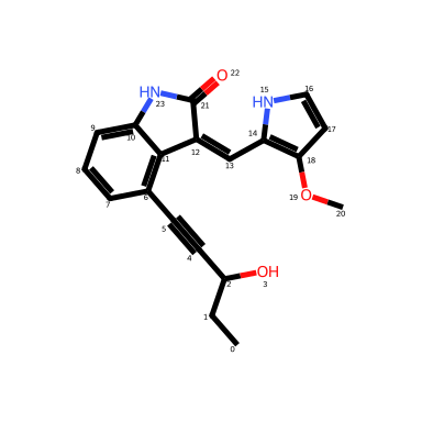 CCC(O)C#Cc1cccc2c1/C(=C/c1[nH]ccc1OC)C(=O)N2